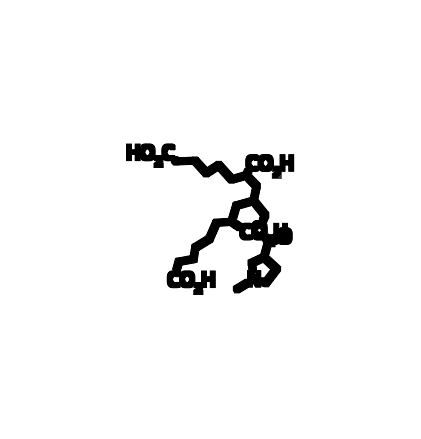 CN1CCC(C(=O)OCC(CC(CCCCCC(=O)O)C(=O)O)CC(CCCCCC(=O)O)C(=O)O)C1